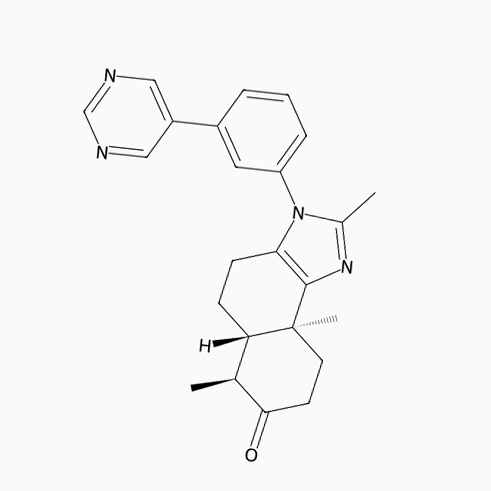 Cc1nc2c(n1-c1cccc(-c3cncnc3)c1)CC[C@H]1[C@H](C)C(=O)CC[C@]21C